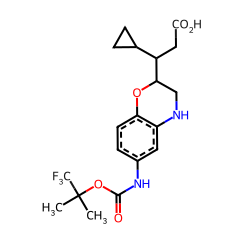 CC(C)(OC(=O)Nc1ccc2c(c1)NCC(C(CC(=O)O)C1CC1)O2)C(F)(F)F